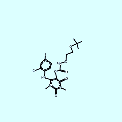 Cn1c(Nc2ccc(I)cc2Cl)c(OC(=O)NOCCOC(C)(C)C)c(=O)n(C)c1=O